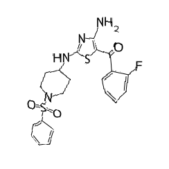 Nc1nc(NC2CCN(S(=O)(=O)c3ccccc3)CC2)sc1C(=O)c1ccccc1F